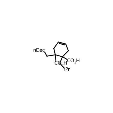 CCCCCCCCCCCC1(C(=O)O)CC=CCC1(CC(C)C)C(=O)O